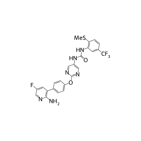 CSc1ccc(C(F)(F)F)cc1NC(=O)Nc1cnc(Oc2ccc(-c3cc(F)cnc3N)cc2)nc1